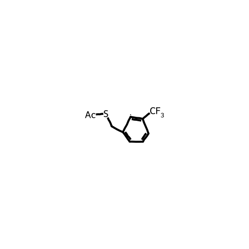 CC(=O)SCc1[c]c(C(F)(F)F)ccc1